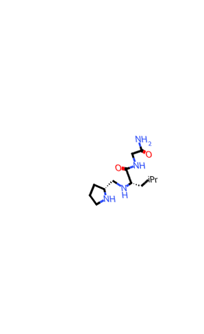 CC(C)C[C@H](NC[C@H]1CCCN1)C(=O)NCC(N)=O